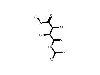 CC(=O)C(NC(=O)C(O)C(O)C(=O)OC(C)C)C(C)C